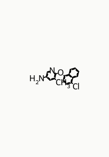 Cc1cc(N)cnc1Oc1ccc(Cl)c2ccccc12